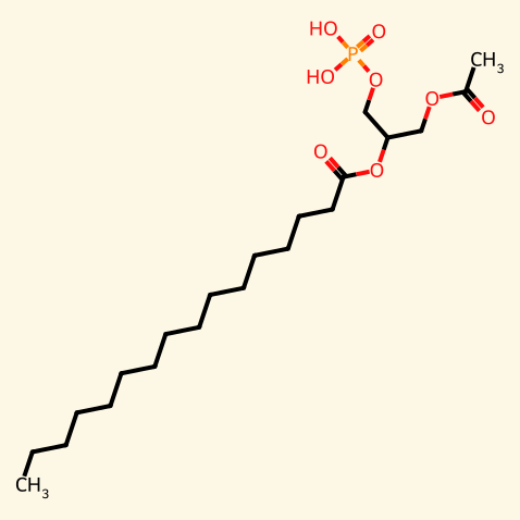 CCCCCCCCCCCCCCCC(=O)OC(COC(C)=O)COP(=O)(O)O